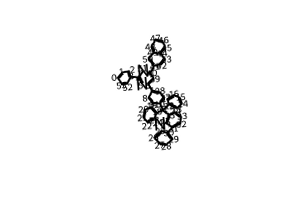 c1ccc(-c2nc(-c3ccc(C4(c5ccccc5)c5ccccc5-n5c6ccccc6c6cccc4c65)cc3)cc(-c3ccc4ccccc4c3)n2)cc1